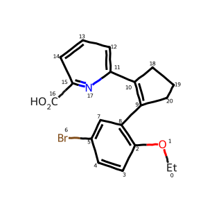 CCOc1ccc(Br)cc1C1=C(c2cccc(C(=O)O)n2)CCC1